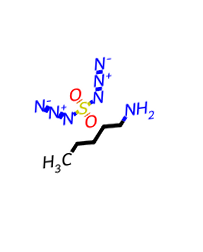 CCCCCN.[N-]=[N+]=NS(=O)(=O)N=[N+]=[N-]